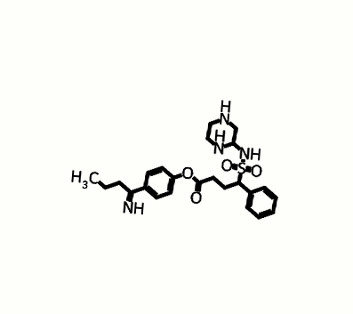 CCCC(=N)c1ccc(OC(=O)CCC(c2ccccc2)S(=O)(=O)NC2CNCCN2)cc1